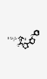 O=C(O)[C@@H]1CC(=O)N1C(=O)N1CCCC(c2cccc(Oc3ccccc3)c2)C1